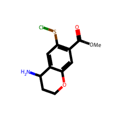 COC(=O)c1cc2c(cc1SCl)C(N)CCO2